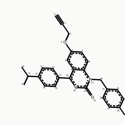 C#CCOc1ccc2c(c1)c(-c1ccc(C(C)C)cc1)nc(=O)n2Cc1ccc(F)cc1